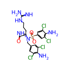 N=C(N)NCCC[C@H](C(N)=O)N(Cc1cc(Cl)c(N)c(Cl)c1)S(=O)(=O)c1cc(Cl)c(N)c(Cl)c1